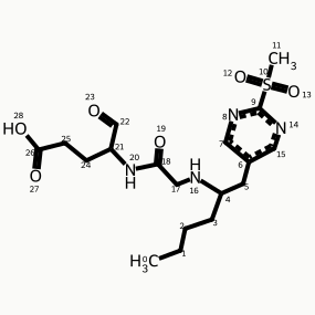 CCCCC(Cc1cnc(S(C)(=O)=O)nc1)NCC(=O)NC(C=O)CCC(=O)O